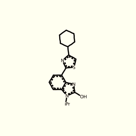 CC(C)n1c(O)nc2c(-c3nc(C4CCCCC4)cs3)cccc21